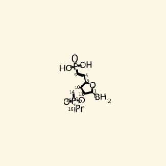 B[C@@H]1O[C@H](/C=C/P(=O)(O)O)C[C@H]1OP(C)(=O)C(C)C